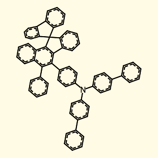 c1ccc(-c2ccc(N(c3ccc(-c4ccccc4)cc3)c3ccc(-c4c5c(c6ccccc6c4-c4ccccc4)C4(c6ccccc6-c6ccccc64)c4ccccc4-5)cc3)cc2)cc1